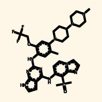 Cc1cc(Nc2nc(Nc3ccn4ccnc4c3P(C)(C)=O)c3cc[nH]c3n2)c(OCC(F)(F)F)cc1N1CCC(N2CCN(C)CC2)CC1